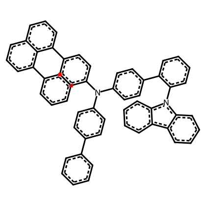 c1ccc(-c2ccc(N(c3ccc(-c4ccccc4-n4c5ccccc5c5ccccc54)cc3)c3ccc(-c4cccc5cccc(-c6ccccc6)c45)cc3)cc2)cc1